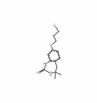 CC1(C)Cc2ccc(OCCCCl)cc2NC(=O)N1